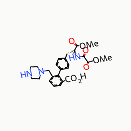 COC(=O)C(=O)N[C@H](Cc1ccc(-c2c(CN3CCNCC3)cccc2C(=O)O)cc1)C(=O)OC